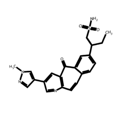 CCC(CS(N)(=O)=O)c1ccc2ccc3ncc(-c4cnn(C)c4)cc3c(=O)c2c1